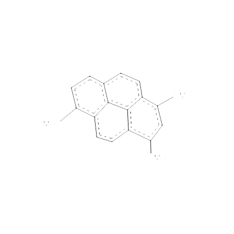 CSc1ccc2ccc3c(SC)cc(SC)c4ccc1c2c34